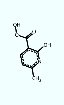 Cc1ccc(C(=O)OO)c(O)n1